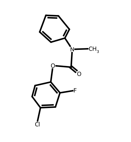 CN(C(=O)Oc1ccc(Cl)cc1F)c1ccccc1